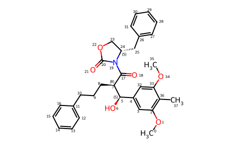 COc1cc([C@@H](O)[C@@H](CCCc2ccccc2)C(=O)N2C(=O)OC[C@@H]2Cc2ccccc2)cc(OC)c1C